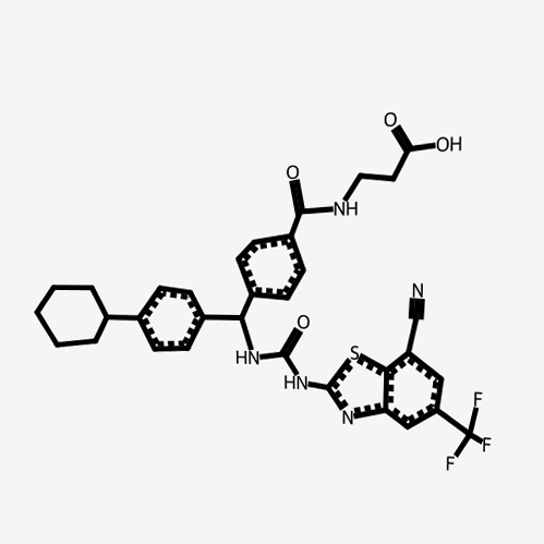 N#Cc1cc(C(F)(F)F)cc2nc(NC(=O)NC(c3ccc(C(=O)NCCC(=O)O)cc3)c3ccc(C4CCCCC4)cc3)sc12